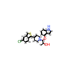 CC(O)C(Oc1cccc2[nH]ccc12)N1CC=C(c2scc3cc(Cl)ccc23)CC1